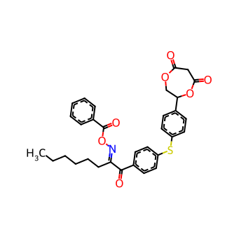 CCCCCCC(=NOC(=O)c1ccccc1)C(=O)c1ccc(Sc2ccc(C3COC(=O)CC(=O)O3)cc2)cc1